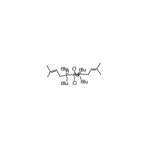 CC(C)=CC[PH](C(C)(C)C)(C(C)(C)C)[Pd]([Cl])([Cl])[PH](CC=C(C)C)(C(C)(C)C)C(C)(C)C